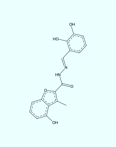 Cc1c(C(=O)NN=Cc2cccc(O)c2O)oc2cccc(O)c12